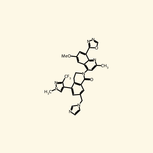 COc1cc(-c2nnco2)c2nc(C)cc(N3CCc4c(cc(Cn5ccnc5)cc4-c4cn(C)nc4C(F)(F)F)C3=O)c2c1